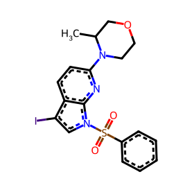 CC1COCCN1c1ccc2c(I)cn(S(=O)(=O)c3ccccc3)c2n1